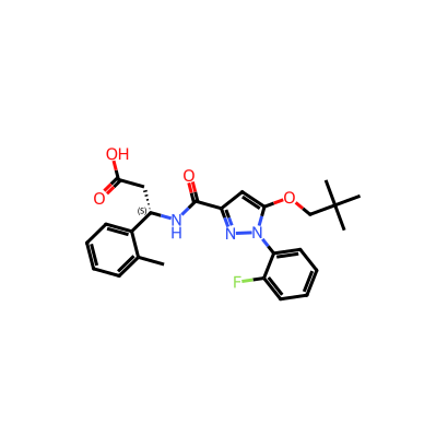 Cc1ccccc1[C@H](CC(=O)O)NC(=O)c1cc(OCC(C)(C)C)n(-c2ccccc2F)n1